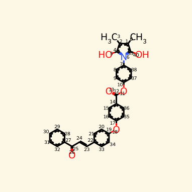 Cc1c(C)c(O)n(-c2ccc(OC(=O)c3ccc(Oc4ccc(C=CC(=O)c5ccccc5)cc4)cc3)cc2)c1O